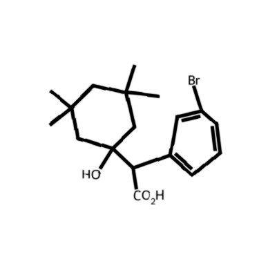 CC1(C)CC(C)(C)CC(O)(C(C(=O)O)c2cccc(Br)c2)C1